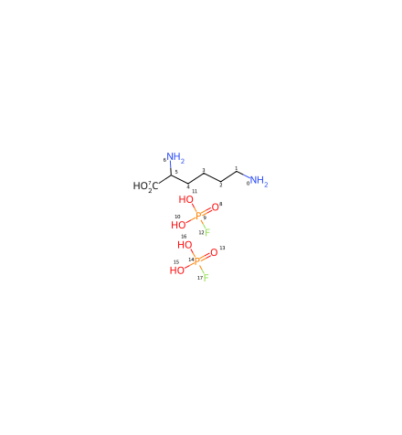 NCCCCC(N)C(=O)O.O=P(O)(O)F.O=P(O)(O)F